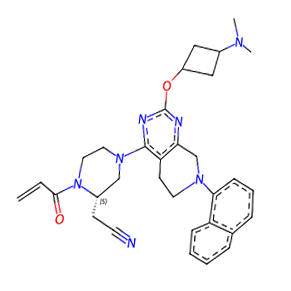 C=CC(=O)N1CCN(c2nc(OC3CC(N(C)C)C3)nc3c2CCN(c2cccc4ccccc24)C3)C[C@@H]1CC#N